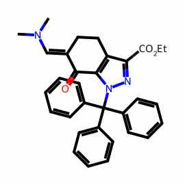 CCOC(=O)c1nn(C(c2ccccc2)(c2ccccc2)c2ccccc2)c2c1CCC(=CN(C)C)C2=O